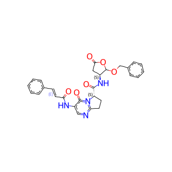 O=C(/C=C/c1ccccc1)Nc1cnc2n(c1=O)[C@H](C(=O)N[C@H]1CC(=O)OC1OCc1ccccc1)CC2